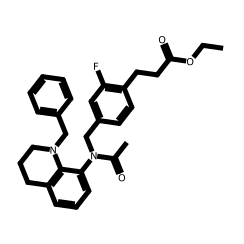 CCOC(=O)CCc1ccc(CN(C(C)=O)c2cccc3c2N(Cc2ccccc2)CCC3)cc1F